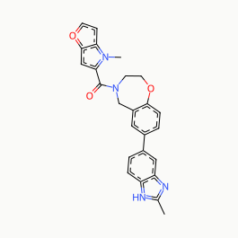 Cc1nc2cc(-c3ccc4c(c3)CN(C(=O)c3cc5occc5n3C)CCO4)ccc2[nH]1